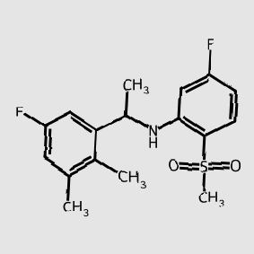 Cc1cc(F)cc(C(C)Nc2cc(F)ccc2S(C)(=O)=O)c1C